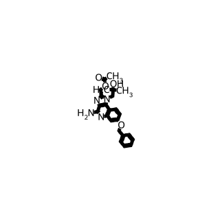 CC(=O)OCc1nc2c(N)nc3cc(OCc4ccccc4)ccc3c2n1CC(C)(C)O